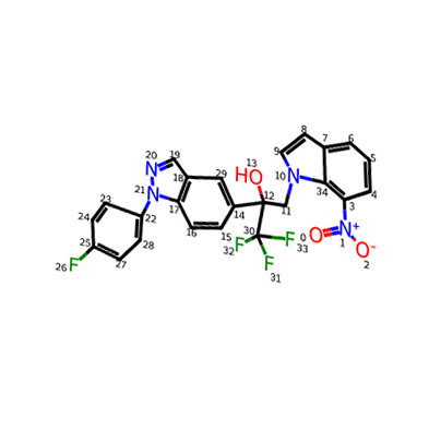 O=[N+]([O-])c1cccc2ccn(CC(O)(c3ccc4c(cnn4-c4ccc(F)cc4)c3)C(F)(F)F)c12